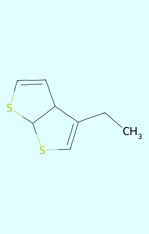 CCC1=CSC2SC=CC12